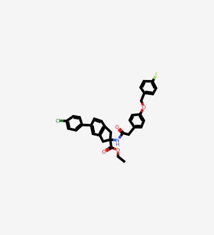 CCOC(=O)C1(NC(=O)Cc2ccc(OCc3ccc(F)cc3)cc2)Cc2ccc(-c3ccc(Cl)cc3)cc2C1